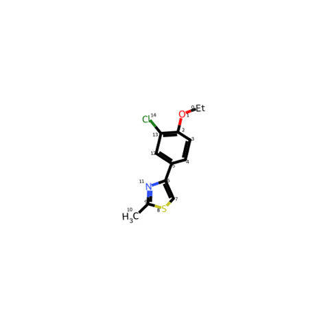 CCOc1ccc(-c2csc(C)n2)cc1Cl